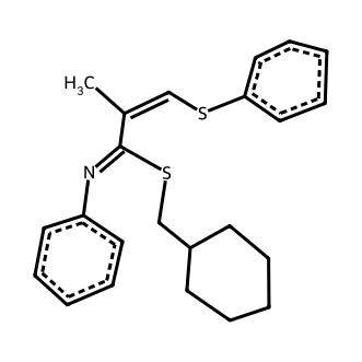 CC(=CSc1ccccc1)C(=Nc1ccccc1)SCC1CCCCC1